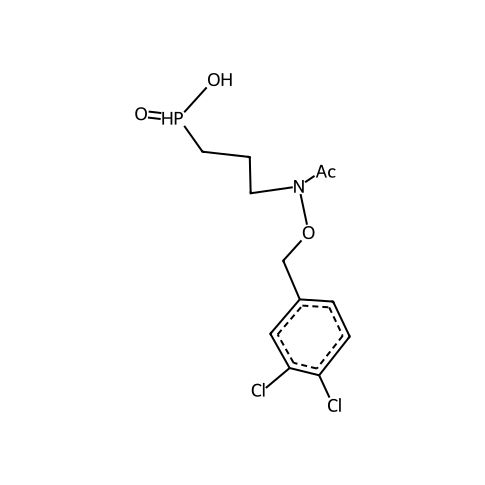 CC(=O)N(CCC[PH](=O)O)OCc1ccc(Cl)c(Cl)c1